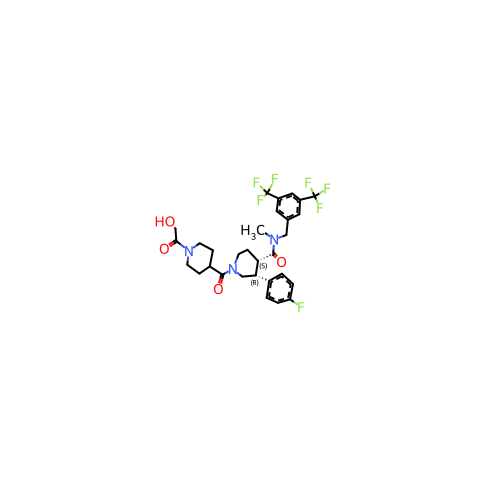 CN(Cc1cc(C(F)(F)F)cc(C(F)(F)F)c1)C(=O)[C@H]1CCN(C(=O)C2CCN(C(=O)CO)CC2)C[C@H]1c1ccc(F)cc1